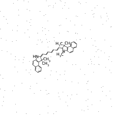 C[N+]1=C(/C=C/C=C/C=C/C=C2/Nc3ccc4ccccc4c3C2(C)C)C(C)(C)c2c1ccc1ccccc21